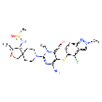 C[C@@H]1OCC2(CCN(C3=NC(N)=C(Sc4ccc5nn(C)cc5c4Cl)C(=C=O)N3C)CC2)[C@@H]1N[S@+]([O-])C(C)(C)C